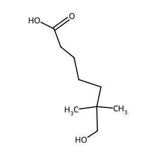 CC(C)(CO)CCCCC(=O)O